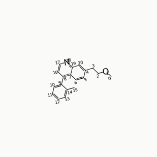 COCCc1ccc2c(-c3ccccc3C)ccnc2c1